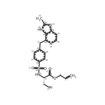 C=CCOC(=O)[C@H](CC(C)C)NS(=O)(=O)c1ccc(Cc2nccc3nc(C)[nH]c23)cc1